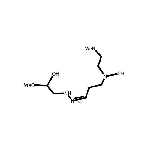 CNCCN(C)CC/C=N\NCC(O)OC